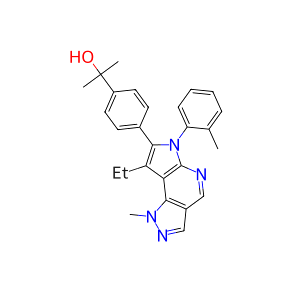 CCc1c(-c2ccc(C(C)(C)O)cc2)n(-c2ccccc2C)c2ncc3cnn(C)c3c12